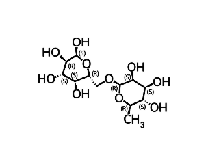 C[C@H]1O[C@@H](OC[C@H]2O[C@H](O)[C@H](O)[C@@H](O)[C@@H]2O)[C@@H](O)[C@@H](O)[C@@H]1O